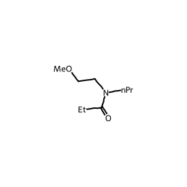 CCCN(CCOC)C(=O)CC